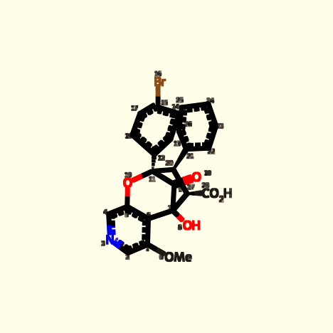 COc1cncc2c1C1(O)C(=O)[C@@](c3ccc(Br)cc3)(O2)[C@@H](c2ccccc2)[C@H]1C(=O)O